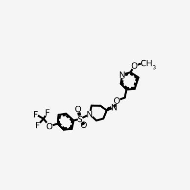 COc1ccc(CON=C2CCN(S(=O)(=O)c3ccc(OC(F)(F)F)cc3)CC2)cn1